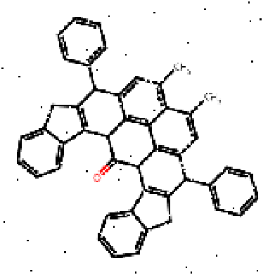 Cc1cc2c3c4c5c(cc(C)c14)C(c1ccccc1)C1=C(c4ccccc4C1)C5C(=O)C3C1=C(Cc3ccccc31)C2c1ccccc1